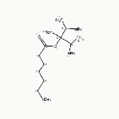 CCCCCCCCCCCCCCCC(=O)OC(CCCCCCCCC)(C(C)CCCC)C(C)CCCC